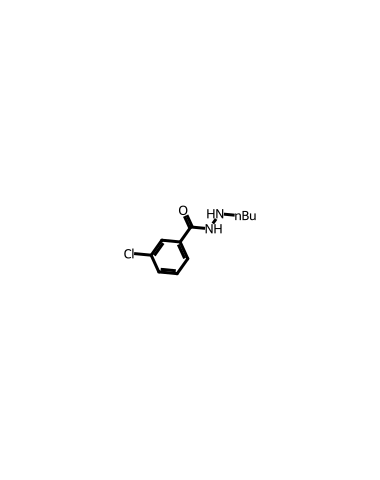 CCCCNNC(=O)c1cccc(Cl)c1